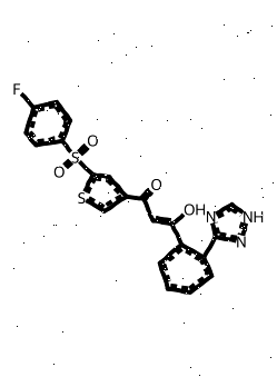 O=C(C=C(O)c1ccccc1-c1nc[nH]n1)c1csc(S(=O)(=O)c2ccc(F)cc2)c1